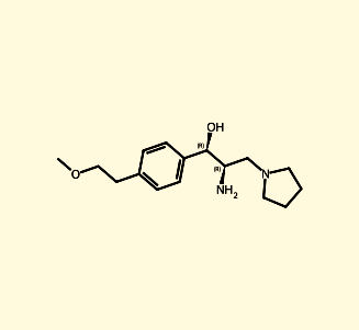 COCCc1ccc([C@@H](O)[C@H](N)CN2CCCC2)cc1